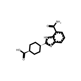 NC(=O)c1cccc2nc([C@H]3CC[C@H](C(=O)O)CC3)[nH]c12